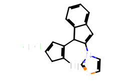 [Cl-].[Cl-].[Hf+2][C]1=C(C2C(n3ccpc3)=Cc3ccccc32)C=CC1